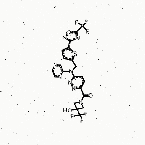 O=C(c1ccc(N(Cc2ccc(-c3noc(C(F)(F)F)n3)s2)c2cnccn2)nn1)N1CC(O)(C(F)(F)F)C1